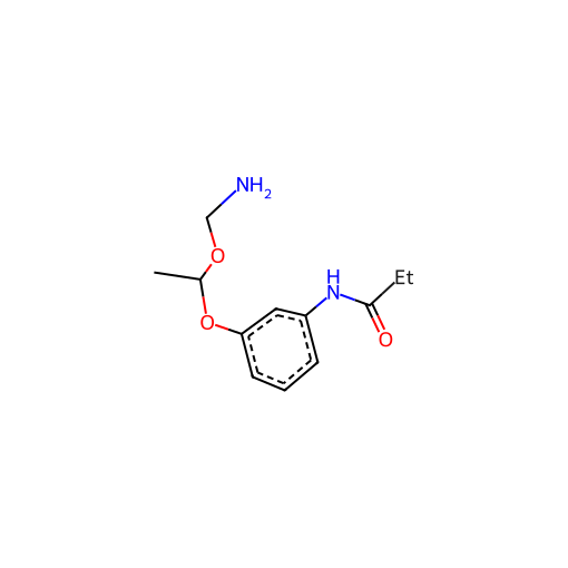 CCC(=O)Nc1cccc(OC(C)OCN)c1